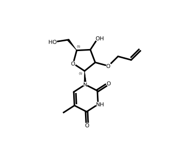 C=CCOC1C(O)[C@H](CO)O[C@@H]1n1cc(C)c(=O)[nH]c1=O